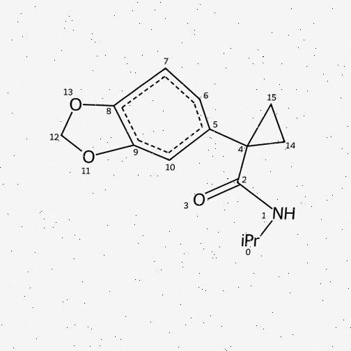 CC(C)NC(=O)C1(c2ccc3c(c2)OCO3)CC1